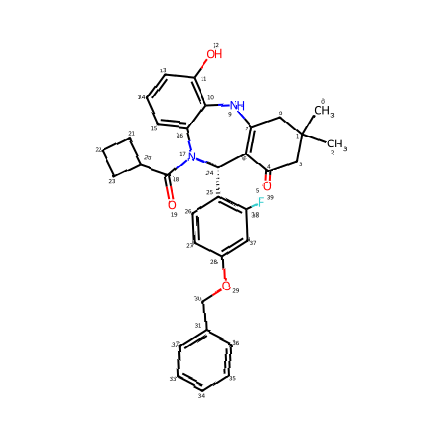 CC1(C)CC(=O)C2=C(C1)Nc1c(O)cccc1N(C(=O)C1CCC1)[C@H]2c1ccc(OCc2ccccc2)cc1F